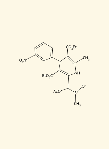 CCOC(=O)C1=C(C)NC(C(OC(C)=O)[S+](C)[O-])=C(C(=O)OCC)C1c1cccc([N+](=O)[O-])c1